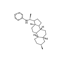 C[C@H]1CC[C@@H]2C3CC[C@@]4(C)C(CCC4[C@H](C)Nc4ccccc4)[C@@H]3CC[C@@H]2C1